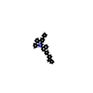 CC1(C)c2ccccc2-c2ccc(-c3ccc(-c4ccc(-c5cc(-c6ccc(-c7ccccc7)cc6-c6ccccc6)nc(-c6ccccc6)n5)c5ccccc45)cc3)cc21